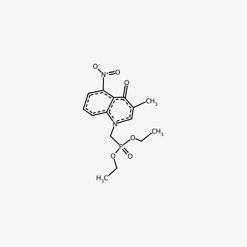 CCOP(=O)(Cn1cc(C)c(=O)c2c([N+](=O)[O-])cccc21)OCC